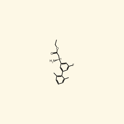 CCOC(=O)C[C@H](N)c1cc(F)cc(-c2c(C)cccc2C)c1